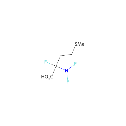 CSCCC(F)(C(=O)O)N(F)F